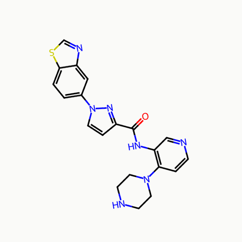 O=C(Nc1cnccc1N1CCNCC1)c1ccn(-c2ccc3scnc3c2)n1